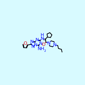 CCCCN1CCN(C(=O)[C@@H](Nc2nc(N)n3nc(-c4ccco4)nc3n2)C2CCCC2)CC1